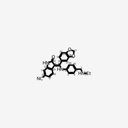 CCNCc1ccc(NC(=C2C(=O)Nc3cc(C#N)ccc32)c2ccc3c(c2)OCO3)cc1